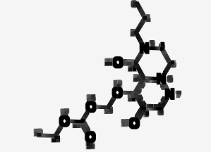 CCCN1CCn2ncc(=O)c(OCOC(=O)OCC)c2C1=O